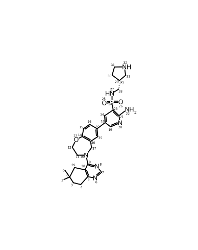 CC1(C)CCc2ncnc(N3CCOc4ccc(-c5cnc(N)c(S(=O)(=O)NC[C@@H]6CCNC6)c5)cc4C3)c2C1